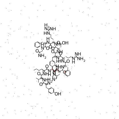 CCCC[C@H](NC(=O)[C@@H](NC(=O)[C@@H](N)Cc1ccc(O)cc1)C(C)C)C(=O)NCC(=O)N[C@@H](Cc1cnc[nH]1)C(=O)N[C@@H](Cc1ccccc1)C(=O)N[C@@H](CCCNC(=N)N)C(=O)N[C@@H](Cc1ccc2ccccc2c1)C(=O)N[C@@H](CC(=O)O)C(=O)N[C@@H](CCCNC(=N)N)C(=O)N[C@@H](Cc1ccccc1)C(=O)NCC(N)=O